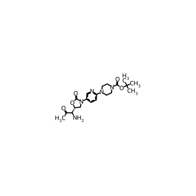 CC(=O)C(N)[C@@H]1CN(c2ccc(N3CCN(C(=O)OC(C)(C)C)CC3)nc2)C(=O)O1